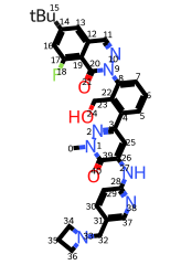 Cn1nc(-c2cccc(-n3ncc4cc(C(C)(C)C)cc(F)c4c3=O)c2CO)cc(Nc2ccc(CN3CCC3)cn2)c1=O